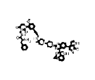 COc1ccc(C#CCNC2(C)CCN(C3CCN(c4nc(C(CO)(OC5CC5)c5ccccc5)c5cc(-c6cn(C)c(=O)c7[nH]ccc67)ccc5n4)CC3)CC2)cc1N1CCC(=O)N(CNC(=O)C(N)Cc2ccccc2)C1=O